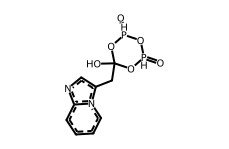 O=[PH]1O[PH](=O)OC(O)(Cc2cnc3ccccn23)O1